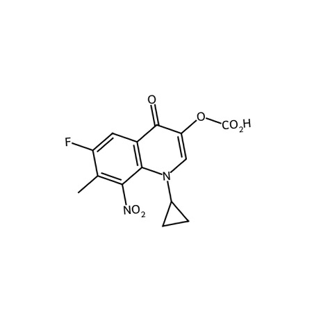 Cc1c(F)cc2c(=O)c(OC(=O)O)cn(C3CC3)c2c1[N+](=O)[O-]